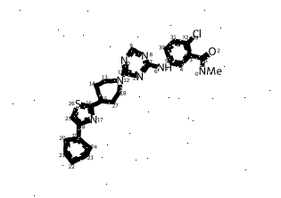 CNC(=O)c1cc(Nc2ncnc(N3CCC(c4nc(-c5ccccc5)cs4)CC3)n2)ccc1Cl